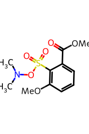 COC(=O)c1cccc(OC)c1S(=O)(=O)ON(C)C